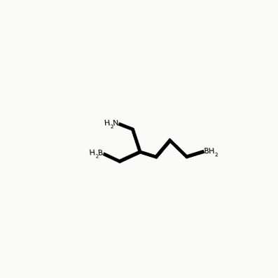 BCCCC(CB)CN